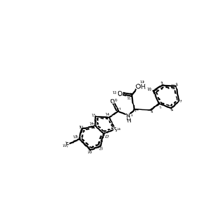 O=C(NC(Cc1ccccc1)C(=O)O)c1cc2cc(F)ccc2s1